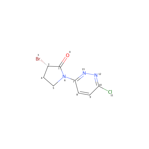 O=C1[C@@H](Br)CCN1c1ccc(Cl)nn1